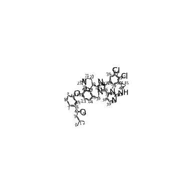 CC(C)=CC(=O)c1cccc(Oc2ccc(Cn3c(C4CCN(C)CC4)nc(-c4ccc(Cl)c(Cl)c4)c3-c3ccnc(NC4CC4)n3)cc2)c1